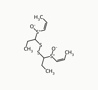 C/C=C\[S+]([O-])C(CC)SSC(CC)[S+]([O-])/C=C\C